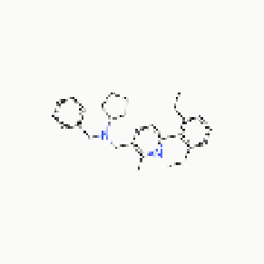 CCc1cccc(CC)c1-c1ccc(CN(Cc2ccccc2)C2CCCC2)c(C)n1